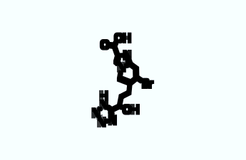 O=C(O)c1cn2cc(CCC(O)c3nnn[nH]3)c(Br)cc2n1